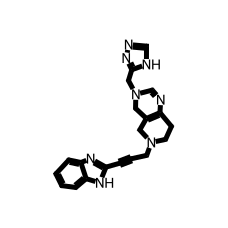 C(#Cc1nc2ccccc2[nH]1)CN1CCC2=C(CN(Cc3nnc[nH]3)C=N2)C1